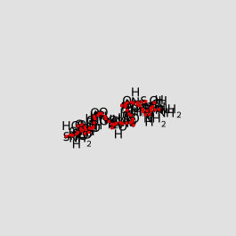 CSCC[C@H](NC(=O)CNC(=O)[C@@H]1CCCN1C(=O)CNC(=O)CNC(=O)[C@@H]1CCCN1C(=O)CNC(=O)CNC(=O)[C@@H]1CCCN1C(=O)CNC(=O)CNC(=O)[C@H](C)NC(=O)[C@H](C)NC(=O)CNC(=O)[C@H](C)NC(=O)[C@H](CC(=O)O)NC(=O)[C@H](CC(=O)O)NC(=O)[C@H](C)NC(=O)[C@@H](N)CCSC)C(=O)NCC(=O)N[C@@H](CC(N)=O)C(=O)N[C@@H](CCCNC(=N)N)C(=O)NCC(=O)O